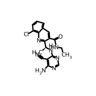 CCNC(=O)c1cc2cccc(Cl)c2nc1[C@H](C)Nc1ncnc(N)c1C#N